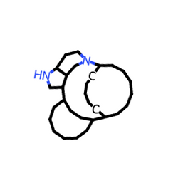 C1CCCC2CCCCCC(CC1)C1CCCCCCC(CC1)C1CNC3CCN2CC31